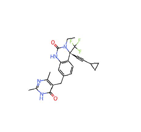 CCN1C(=O)Nc2cc(Cc3c(C)nc(C)[nH]c3=O)ccc2[C@@]1(C#CC1CC1)C(F)(F)F